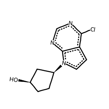 O[C@@H]1CC[C@H](n2ccc3c(Cl)ncnc32)C1